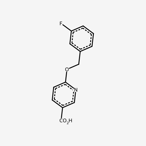 O=C(O)c1ccc(OCc2cccc(F)c2)nc1